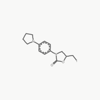 O=C1OC(CI)CN1c1ccc(N2CCCC2)cc1